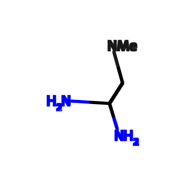 [CH2]NCC(N)N